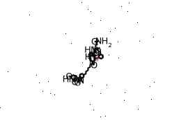 C[C@H]1CN(C(=O)CCCCCCc2ccc3c(c2)n(C)c(=O)n3C2CCC(=O)NC2=O)CC[C@H]2CC[C@@H](C(=O)N[C@@H](CCC(N)=O)[C@@H](C)OCc3ccccc3)N2C1=O